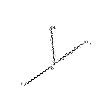 CCCCCCCC/C=C/CCCCCCCC(=O)OCC(COCCOCCOCCOCCOCCOCCOC)OCCOCCOCCOCCOCCOCCOC